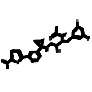 CC(=O)NC(Cc1cc(F)cc(F)c1)C(O)CNC1(c2cccc(-c3ccc(C(C)=O)s3)c2)CC1